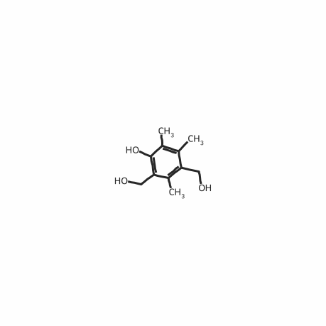 Cc1c(C)c(CO)c(C)c(CO)c1O